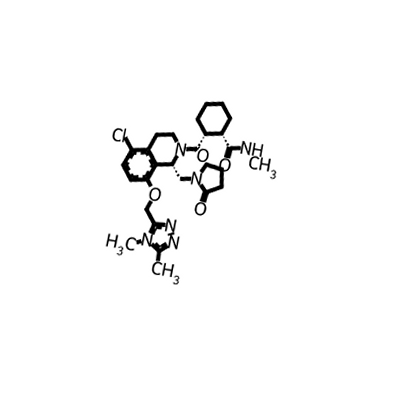 CNC(=O)[C@H]1CCCC[C@H]1C(=O)N1CCc2c(Cl)ccc(OCc3nnc(C)n3C)c2[C@H]1CN1CCCC1=O